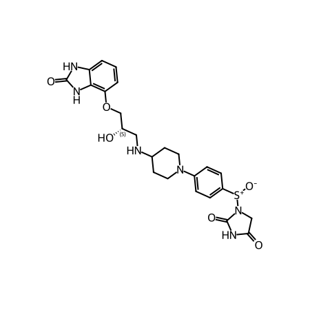 O=C1CN([S+]([O-])c2ccc(N3CCC(NC[C@H](O)COc4cccc5[nH]c(=O)[nH]c45)CC3)cc2)C(=O)N1